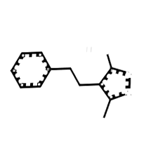 Cc1[nH]nc(C(=O)O)c1CCc1ccccc1